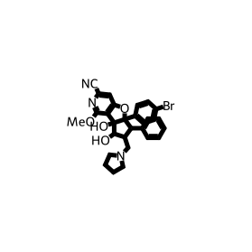 COc1nc(C#N)cc2c1C1(O)C(O)C(CN3CCCC3)C(c3ccccc3)C1(c1ccc(Br)cc1)O2